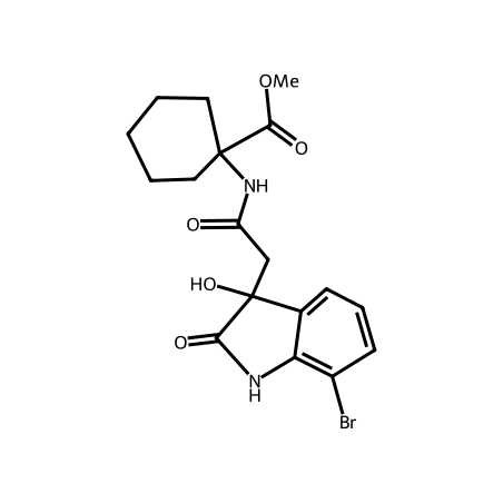 COC(=O)C1(NC(=O)CC2(O)C(=O)Nc3c(Br)cccc32)CCCCC1